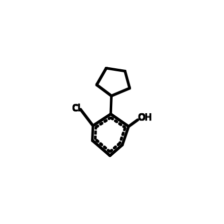 Oc1cccc(Cl)c1C1CCCC1